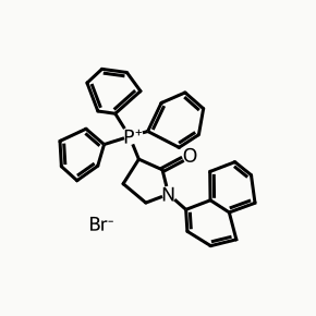 O=C1C([P+](c2ccccc2)(c2ccccc2)c2ccccc2)CCN1c1cccc2ccccc12.[Br-]